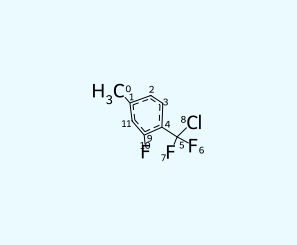 Cc1ccc(C(F)(F)Cl)c(F)c1